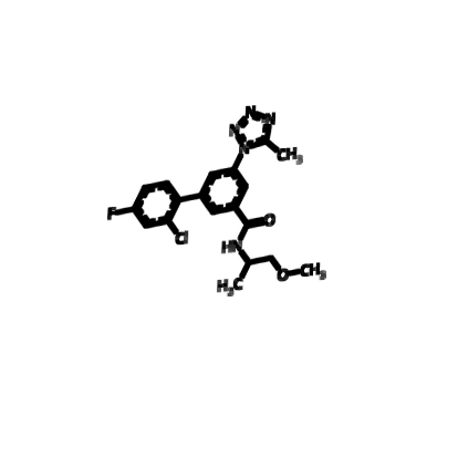 COCC(C)NC(=O)c1cc(-c2ccc(F)cc2Cl)cc(-n2nnnc2C)c1